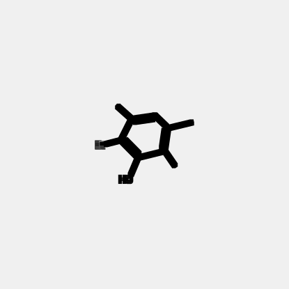 CCc1c(C)cc(C)c(C)c1O